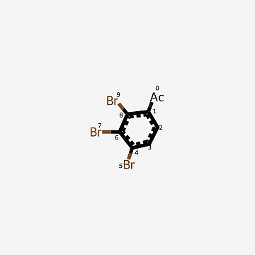 CC(=O)c1ccc(Br)c(Br)c1Br